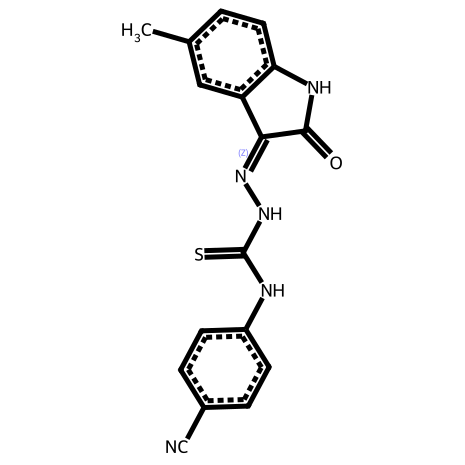 Cc1ccc2c(c1)/C(=N/NC(=S)Nc1ccc(C#N)cc1)C(=O)N2